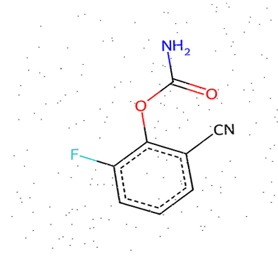 N#Cc1cccc(F)c1OC(N)=O